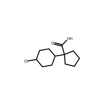 O=C(O)C1(C2CCC(Cl)CC2)CCCC1